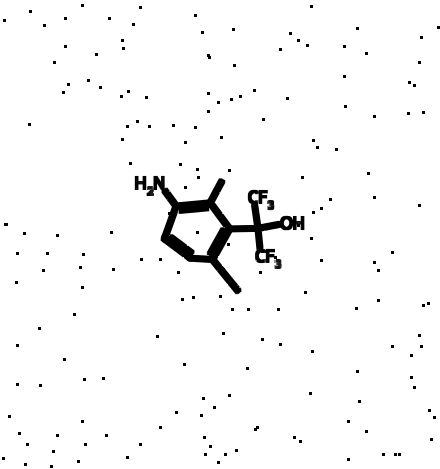 Cc1ccc(N)c(C)c1C(O)(C(F)(F)F)C(F)(F)F